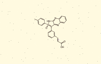 Cc1ccc(S2(=O)=S(c3cccc(/C=C/C(=O)O)c3)c3nc4ccccc4nc3N2)cc1